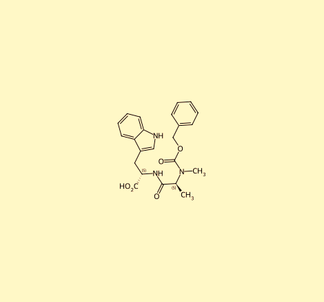 C[C@@H](C(=O)N[C@@H](Cc1c[nH]c2ccccc12)C(=O)O)N(C)C(=O)OCc1ccccc1